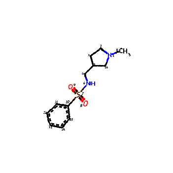 CN1CCC(CNS(=O)(=O)c2ccccc2)C1